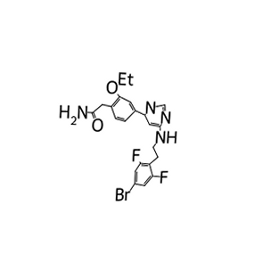 CCOc1cc(-c2cc(NCCc3c(F)cc(Br)cc3F)ncn2)ccc1CC(N)=O